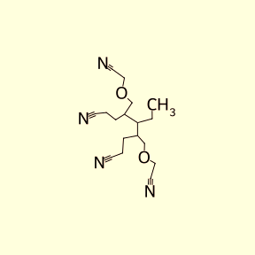 CCC(C(CCC#N)COCC#N)C(CCC#N)COCC#N